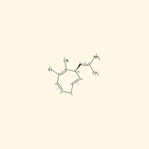 CCC1=C(\C#N)[C@@H](/C=C(\C)N)/C=C/C/C=C\1